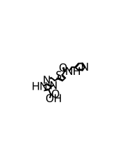 O=C(NCc1ccncc1)c1ccc(-c2cnc3[nH]cc(C(=O)O)c3n2)s1